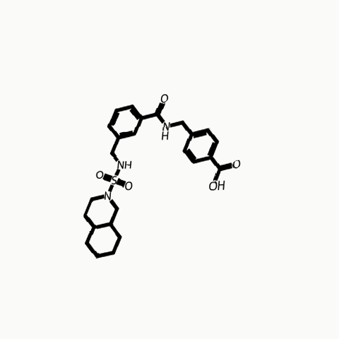 O=C(O)c1ccc(CNC(=O)c2cccc(CNS(=O)(=O)N3CCC4CCCCC4C3)c2)cc1